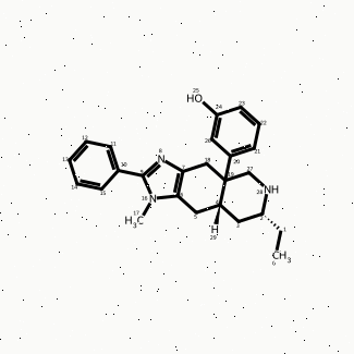 CC[C@@H]1C[C@@H]2Cc3c(nc(-c4ccccc4)n3C)CC2(c2cccc(O)c2)CN1